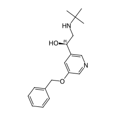 CC(C)(C)NC[C@H](O)c1cncc(OCc2ccccc2)c1